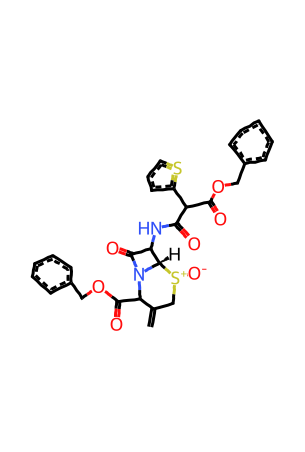 C=C1C[S+]([O-])[C@H]2C(NC(=O)C(C(=O)OCc3ccccc3)c3cccs3)C(=O)N2C1C(=O)OCc1ccccc1